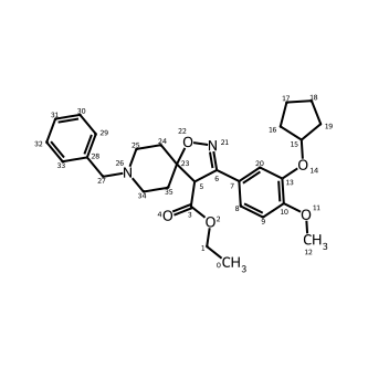 CCOC(=O)C1C(c2ccc(OC)c(OC3CCCC3)c2)=NOC12CCN(Cc1ccccc1)CC2